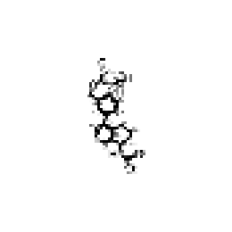 [2H]C([2H])([2H])N1C(=C=O)OCc2cc(-c3cncc4c3CCCC4NC(=O)CC)ccc21